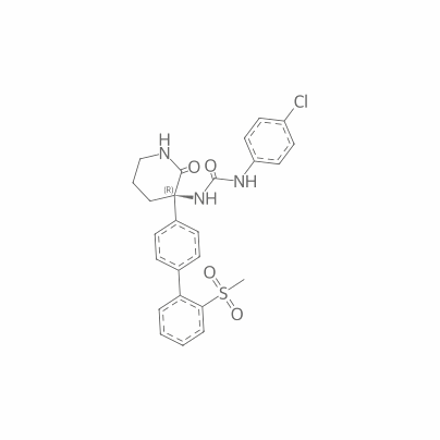 CS(=O)(=O)c1ccccc1-c1ccc([C@]2(NC(=O)Nc3ccc(Cl)cc3)CCCNC2=O)cc1